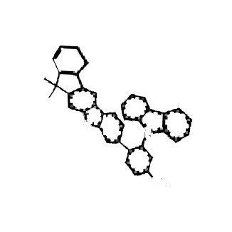 CC1(C)C2=C(CCC=C2)c2cc3c(cc21)oc1cc(-c2ccc(C#N)cc2-n2c4ccccc4c4ccccc42)ccc13